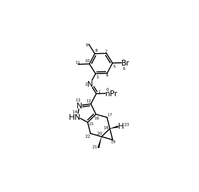 CCC/C(=N\c1cc(Br)cc(C)c1C)c1n[nH]c2c1C[C@@H]1C[C@]1(C)C2